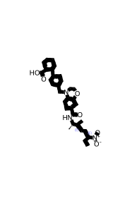 C=C/C(=C\C=C(/C)[C@H](C)NC(=O)c1ccc2c(c1)OCCN2Cc1ccc(-c2ccccc2C(=O)O)cc1)[N+](=O)[O-]